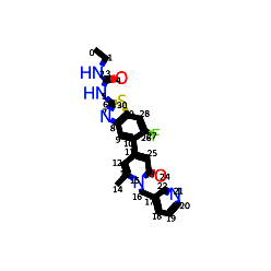 CCNC(=O)Nc1nc2cc(-c3cc(C)n(Cc4cccnc4)c(=O)c3)c(F)cc2s1